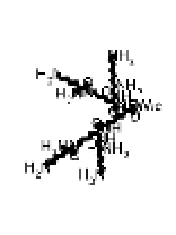 COC(=O)C(CCCCNC(=O)C(CCCCNC(=O)C(N)CCCCN)NC(=O)C(N)CCCCN)NC(=O)C(CCCCNC(=O)C(N)CCCCN)NC(=O)C(N)CCCCCN